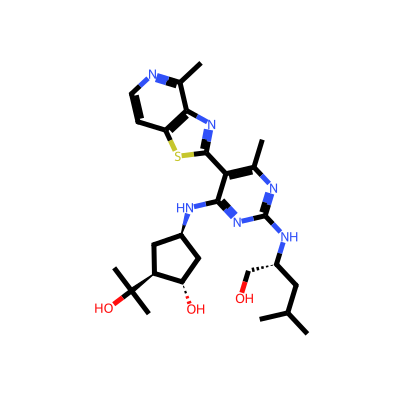 Cc1nc(N[C@@H](CO)CC(C)C)nc(N[C@H]2C[C@H](O)[C@@H](C(C)(C)O)C2)c1-c1nc2c(C)nccc2s1